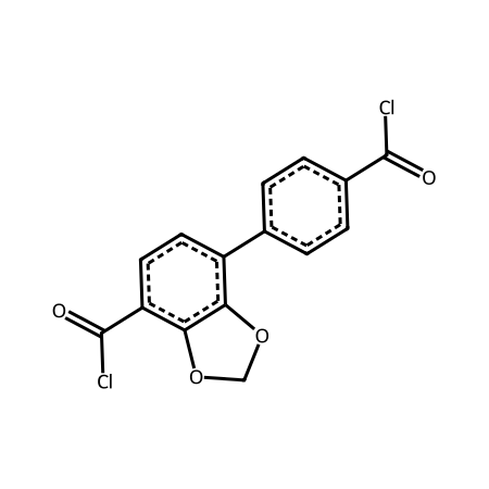 O=C(Cl)c1ccc(-c2ccc(C(=O)Cl)c3c2OCO3)cc1